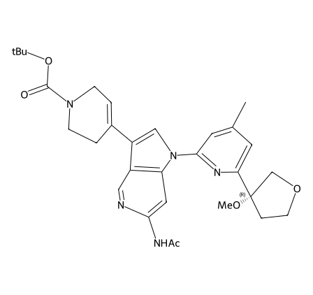 CO[C@@]1(c2cc(C)cc(-n3cc(C4=CCN(C(=O)OC(C)(C)C)CC4)c4cnc(NC(C)=O)cc43)n2)CCOC1